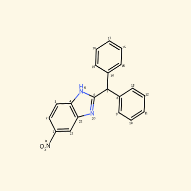 O=[N+]([O-])c1ccc2[nH]c(C(c3ccccc3)c3ccccc3)nc2c1